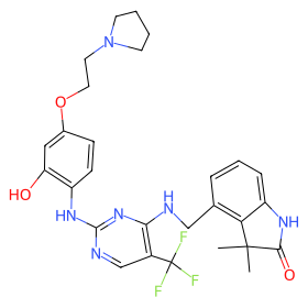 CC1(C)C(=O)Nc2cccc(CNc3nc(Nc4ccc(OCCN5CCCC5)cc4O)ncc3C(F)(F)F)c21